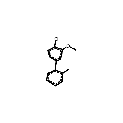 COc1cc(-c2ccccc2C)ccc1Cl